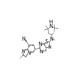 Cc1cn2cc(-c3ncc4nc(N(C)C5CC(C)(C)NC(C)(C)C5)sc4n3)cc(C#N)c2n1